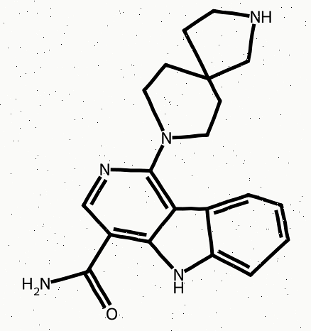 NC(=O)c1cnc(N2CCC3(CCNC3)CC2)c2c1[nH]c1ccccc12